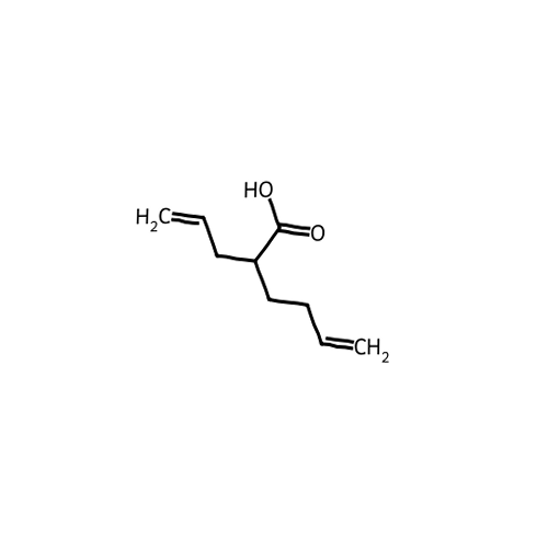 C=CCCC(CC=C)C(=O)O